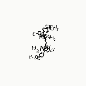 COc1ccc(C(=C(N)BCCCCBC(N)=C(c2ccc(OC)cc2)c2ccc(Cl)cc2Cl)c2ccc(Cl)cc2Cl)cc1